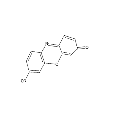 O=Nc1ccc2nc3ccc(=O)cc-3oc2c1